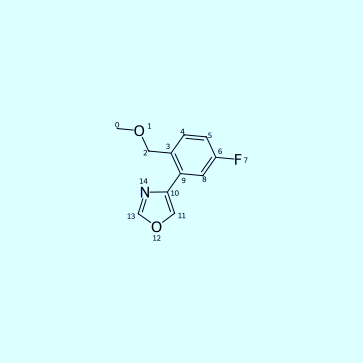 COCc1ccc(F)cc1-c1cocn1